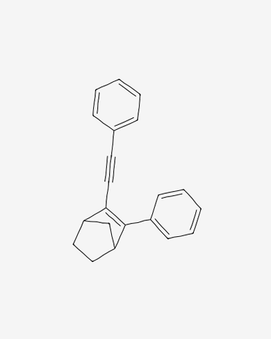 C(#Cc1ccccc1)C1=C(c2ccccc2)C2CCC1C2